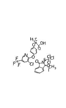 CI.C[C@@H](Oc1ccc(Oc2ncc(C(F)(F)F)cc2Cl)cc1)C(=O)O.O=C1c2ccccc2C(=O)N1SC(Cl)(Cl)Cl